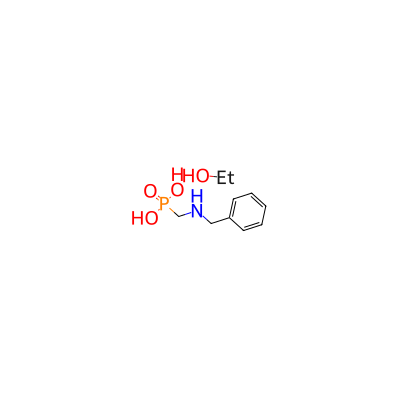 CCO.O=P(O)(O)CNCc1ccccc1